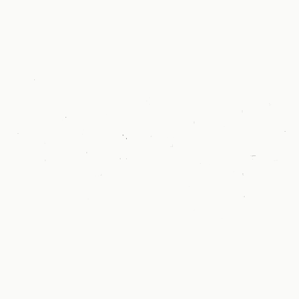 O=C(O)N(CC1c2ccccc2-c2ccccc21)C(=O)OCC1c2ccccc2-c2ccccc21